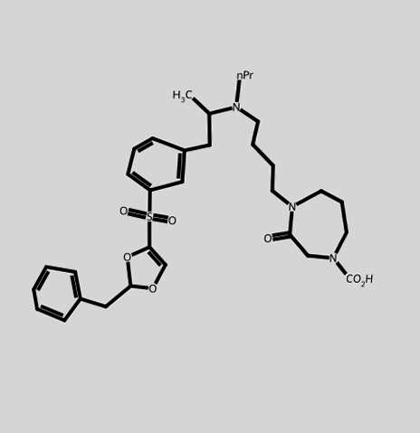 CCCN(CCCCN1CCCN(C(=O)O)CC1=O)C(C)Cc1cccc(S(=O)(=O)C2=COC(Cc3ccccc3)O2)c1